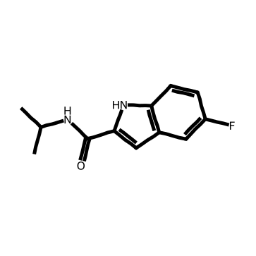 CC(C)NC(=O)c1cc2cc(F)ccc2[nH]1